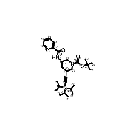 CC(C)[Si](C#C[C@H]1C[C@@H](NC(=O)c2ccccn2)CN(C(=O)OC(C)(C)C)C1)(C(C)C)C(C)C